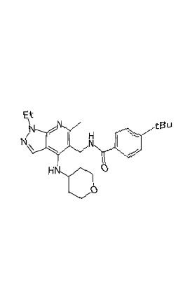 CCn1ncc2c(NC3CCOCC3)c(CNC(=O)c3ccc(C(C)(C)C)cc3)c(C)nc21